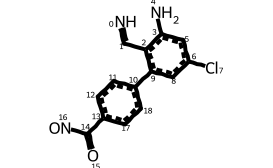 N=Cc1c(N)cc(Cl)cc1-c1ccc(C(=O)N=O)cc1